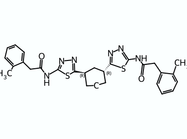 Cc1ccccc1CC(=O)Nc1nnc([C@@H]2CCC[C@@H](c3nnc(NC(=O)Cc4ccccc4C)s3)C2)s1